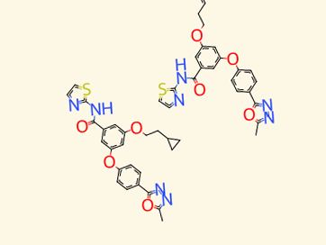 C=CCCOc1cc(Oc2ccc(-c3nnc(C)o3)cc2)cc(C(=O)Nc2nccs2)c1.Cc1nnc(-c2ccc(Oc3cc(OCCC4CC4)cc(C(=O)Nc4nccs4)c3)cc2)o1